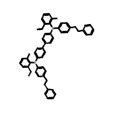 CCc1cccc(C)c1N(c1ccc(CCc2ccccc2)cc1)c1ccc(-c2ccc(N(c3ccc(CCc4ccccc4)cc3)c3c(C)cccc3CC)cc2)cc1